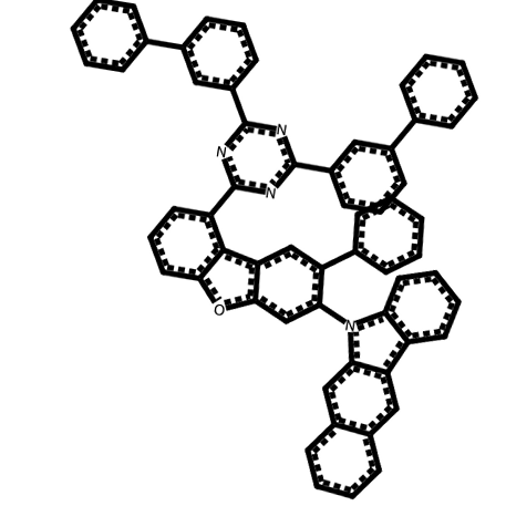 c1ccc(-c2cccc(-c3nc(-c4cccc(-c5ccccc5)c4)nc(-c4cccc5oc6cc(-n7c8ccccc8c8cc9ccccc9cc87)c(-c7ccccc7)cc6c45)n3)c2)cc1